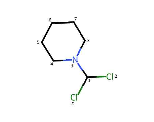 ClC(Cl)N1CCCCC1